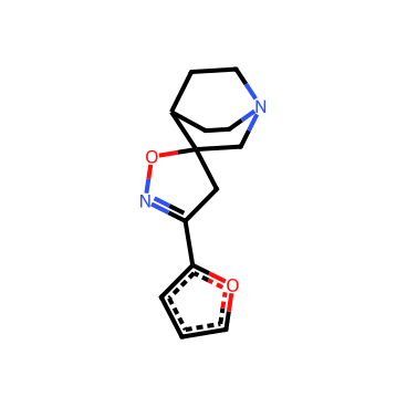 c1coc(C2=NOC3(C2)CN2CCC3CC2)c1